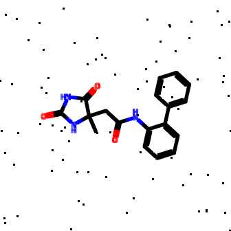 CC1(CC(=O)Nc2ccccc2-c2ccccc2)NC(=O)NC1=O